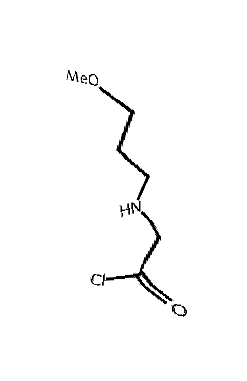 COCCCNCC(=O)Cl